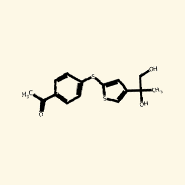 CC(=O)c1ccc(Sc2cc(C(C)(O)CO)cs2)cc1